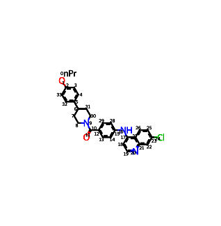 CCCOc1ccc(C2CCN(C(=O)c3ccc(Nc4ccnc5cc(Cl)ccc45)cc3)CC2)cc1